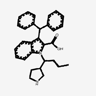 CCCC(C1CCNC1)n1c(C(=O)O)c(C(c2ccccc2)c2ccccc2)c2ccccc21